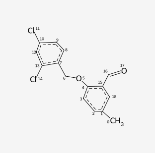 Cc1ccc(OCc2ccc(Cl)cc2Cl)c(C=O)c1